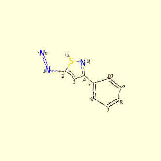 [N]=Nc1cc(-c2ccccc2)ns1